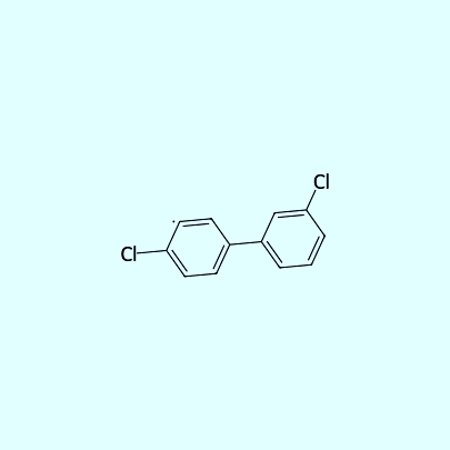 Clc1[c]cc(-c2cccc(Cl)c2)cc1